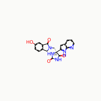 O=C1NC(=O)[C@](CN2Cc3ccc(O)cc3C2=O)(c2cc3cccnc3[nH]2)N1